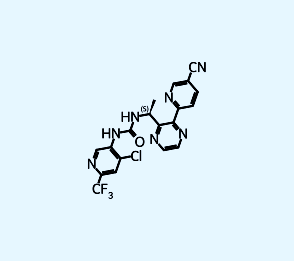 C[C@H](NC(=O)Nc1cnc(C(F)(F)F)cc1Cl)c1nccnc1-c1ccc(C#N)cn1